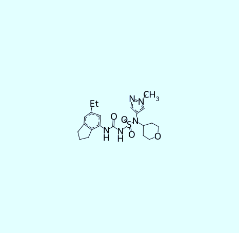 CCc1cc2c(c(NC(=O)NS(=O)(=O)N(c3cnn(C)c3)C3CCOCC3)c1)CCC2